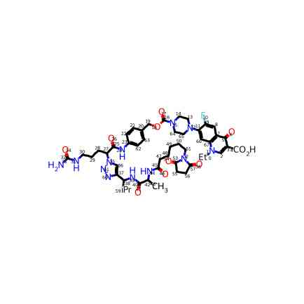 CCn1cc(C(=O)O)c(=O)c2cc(F)c(N3CCN(C(=O)OCc4ccc(NC(=O)C(CCCNC(N)=O)n5cc(C(NC(=O)C(C)NC(=O)CCCCCN6C(=O)CCC6=O)C(C)C)nn5)cc4)CC3)cc21